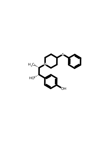 C[C@@H]([C@@H](O)c1ccc(O)cc1)N1CCC(Sc2ccccc2)CC1